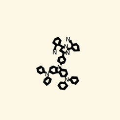 N#Cc1ccccc1-c1cc(-c2ccc(-n3c4ccc(N(c5ccccc5)c5ccccc5)cc4c4cc(N(c5ccccc5)c5ccccc5)ccc43)cc2)nc(-c2ccccc2C#N)n1